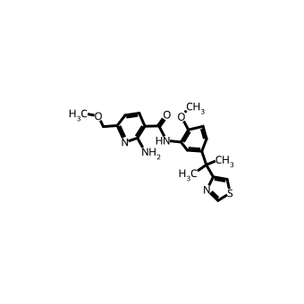 COCc1ccc(C(=O)Nc2cc(C(C)(C)c3cscn3)ccc2OC)c(N)n1